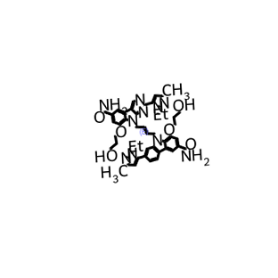 CCn1nc(C)cc1-c1ccc2c3cc(C(N)=O)cc(OCCCO)c3n(C/C=C/Cn3c4nc(-c5cc(C)nn5CC)ncc4c4cc(C(N)=O)cc(OCCCO)c43)c2c1